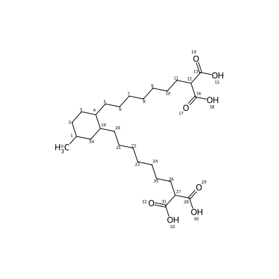 CC1CCC(CCCCCCCC(C(=O)O)C(=O)O)C(CCCCCCCC(C(=O)O)C(=O)O)C1